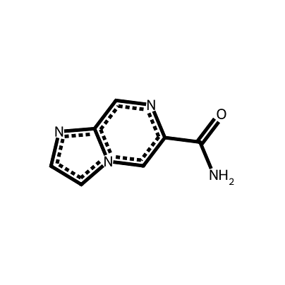 NC(=O)c1cn2ccnc2cn1